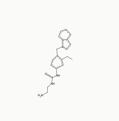 CCc1cc(NC(=O)NCCN)ccc1Cn1ccc2ccccc21